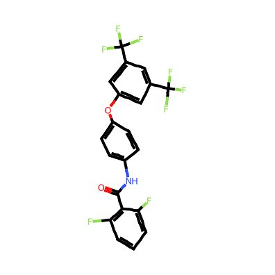 O=C(Nc1ccc(Oc2cc(C(F)(F)F)cc(C(F)(F)F)c2)cc1)c1c(F)cccc1F